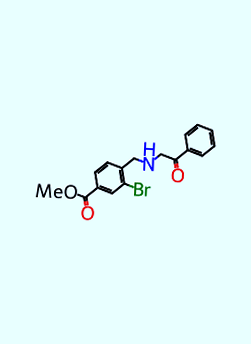 COC(=O)c1ccc(CNCC(=O)c2ccccc2)c(Br)c1